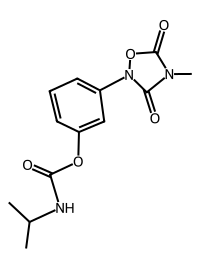 CC(C)NC(=O)Oc1cccc(-n2oc(=O)n(C)c2=O)c1